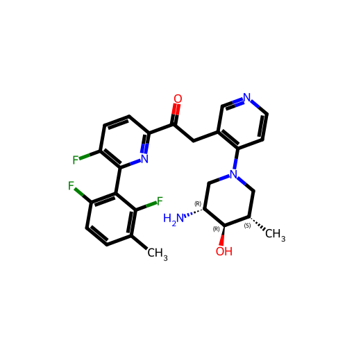 Cc1ccc(F)c(-c2nc(C(=O)Cc3cnccc3N3C[C@@H](N)[C@H](O)[C@@H](C)C3)ccc2F)c1F